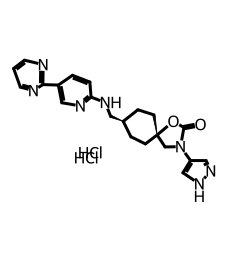 Cl.Cl.O=C1O[C@]2(CC[C@H](CNc3ccc(-c4ncccn4)cn3)CC2)CN1c1cn[nH]c1